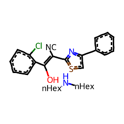 CCCCCCNCCCCCC.N#CC(=C(O)c1ccccc1Cl)c1nc(-c2ccccc2)cs1